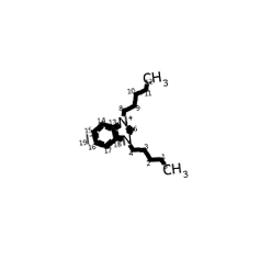 CCCCCn1c[n+](CCCCC)c2ccccc21.[I-]